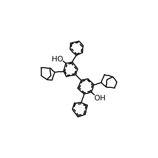 Oc1c(-c2ccccc2)cc(-c2cc(-c3ccccc3)c(O)c(C3CC4CCC3C4)c2)cc1C1CC2CCC1C2